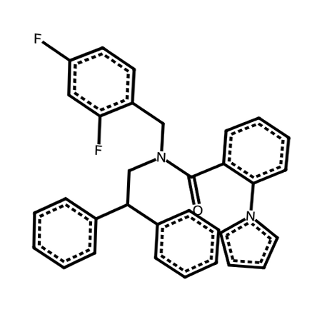 O=C(c1ccccc1-n1cccc1)N(Cc1ccc(F)cc1F)CC(c1ccccc1)c1ccccc1